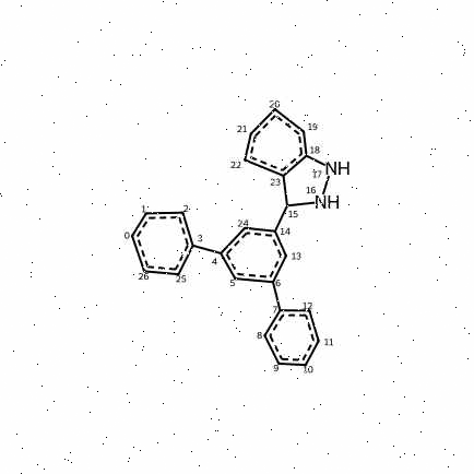 c1ccc(-c2cc(-c3ccccc3)cc(C3NNc4ccccc43)c2)cc1